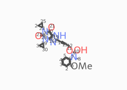 COc1ccccc1N(C)C(O)OCC#Cc1nc2c([nH]1)c(=O)n(C1CC1)c(=O)n2C1CC1